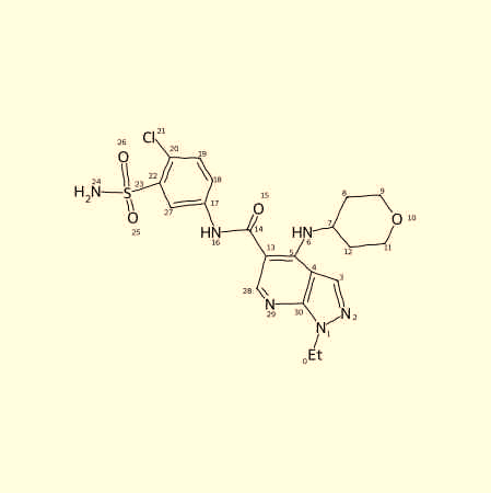 CCn1ncc2c(NC3CCOCC3)c(C(=O)Nc3ccc(Cl)c(S(N)(=O)=O)c3)cnc21